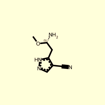 CO[C@H](N)Cc1[nH]ncc1C#N